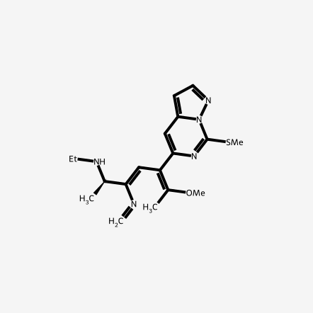 C=N/C(=C\C(=C(/C)OC)c1cc2ccnn2c(SC)n1)[C@@H](C)NCC